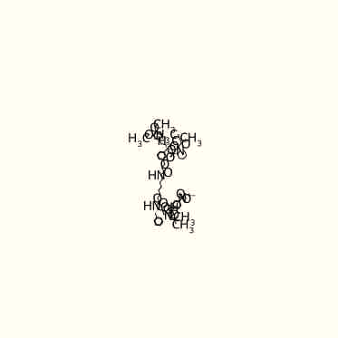 CCC(C)(C)C(=O)C(=O)N1CCCC[C@H]1C(=O)O[C@H](CCc1ccc(OC)c(OC)c1)c1cccc(OCC(=O)NCCCCCOC(=O)N[C@@H](Cc2ccccc2)[C@H](O)CN(CC(C)C)S(=O)(=O)c2ccc([N+](=O)[O-])cc2)c1